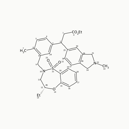 CCOC(=O)CC(c1ccc(C)c(CN2C[C@@H](CC)Oc3ccccc3S2(=O)=O)c1)c1ccc2c(c1)CN(C)C2